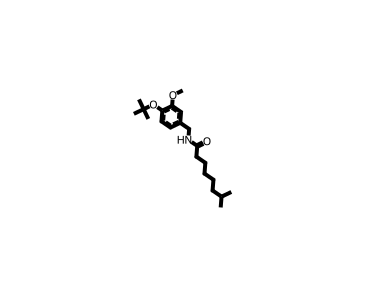 COc1cc(CNC(=O)CCCCCC(C)C)ccc1OC(C)(C)C